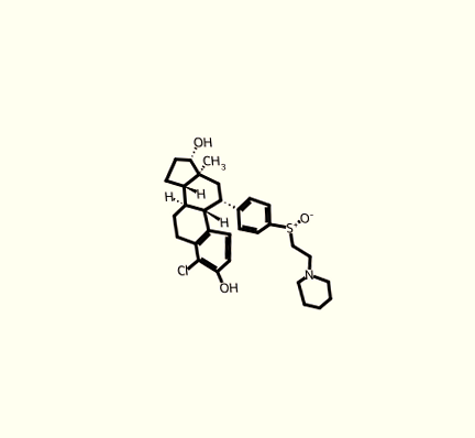 C[C@]12C[C@H](c3ccc([S+]([O-])CCN4CCCCC4)cc3)[C@@H]3c4ccc(O)c(Cl)c4CC[C@H]3[C@@H]1CC[C@@H]2O